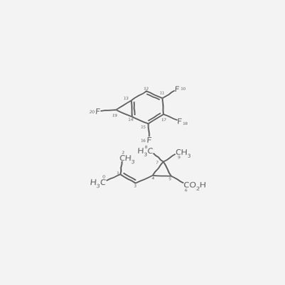 CC(C)=CC1C(C(=O)O)C1(C)C.Fc1cc2c(c(F)c1F)C2F